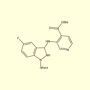 CCCCCN1NC(Nc2cnccc2C(=O)OC)c2cc(F)ccc21